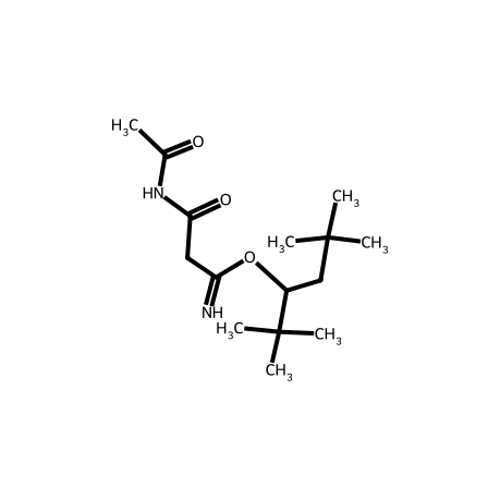 CC(=O)NC(=O)CC(=N)OC(CC(C)(C)C)C(C)(C)C